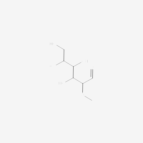 COC(C=O)C(O)C(O)C(O)CO